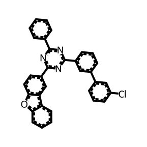 Clc1cccc(-c2cccc(-c3nc(-c4ccccc4)nc(-c4ccc5oc6ccccc6c5c4)n3)c2)c1